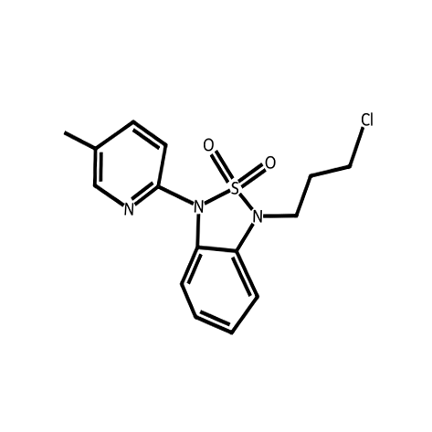 Cc1ccc(N2c3ccccc3N(CCCCl)S2(=O)=O)nc1